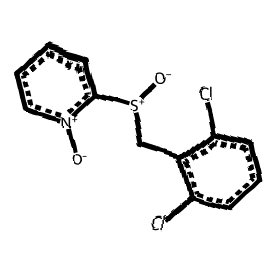 [O-][n+]1ccccc1[S+]([O-])Cc1c(Cl)cccc1Cl